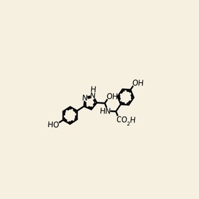 O=C(O)C(NC(O)c1cc(-c2ccc(O)cc2)n[nH]1)c1ccc(O)cc1